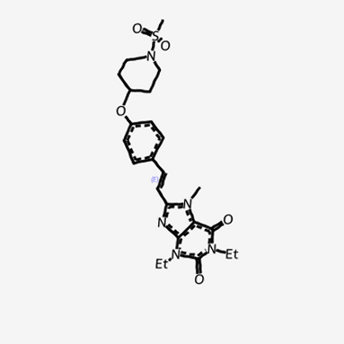 CCn1c(=O)c2c(nc(/C=C/c3ccc(OC4CCN(S(C)(=O)=O)CC4)cc3)n2C)n(CC)c1=O